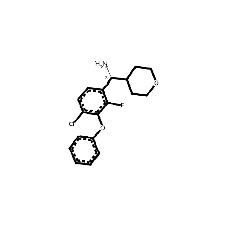 N[C@@H](c1ccc(Cl)c(Oc2ccccc2)c1F)C1CCOCC1